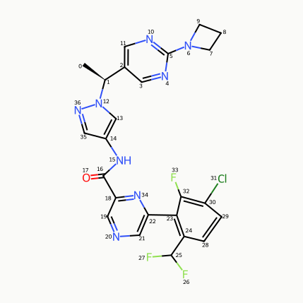 C[C@@H](c1cnc(N2CCC2)nc1)n1cc(NC(=O)c2cncc(-c3c(C(F)F)ccc(Cl)c3F)n2)cn1